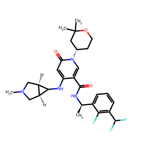 C[C@@H](NC(=O)c1cn([C@H]2CCOC(C)(C)C2)c(=O)cc1NC1[C@H]2CN(C)C[C@@H]12)c1cccc(C(F)F)c1F